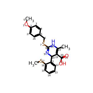 COc1ccc(CSC2=NC(c3ccccc3SC)C(C(=O)O)=C(C)N2)cc1